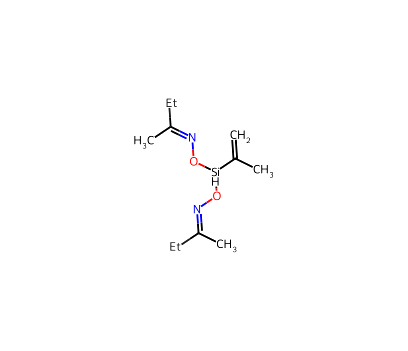 C=C(C)[SiH](ON=C(C)CC)ON=C(C)CC